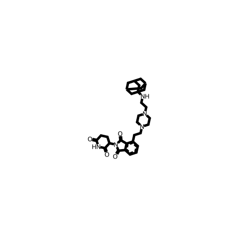 O=C1CCC(N2C(=O)c3cccc(CCN4CCN(CCNC56CC7CC(CC(C7)C5)C6)CC4)c3C2=O)C(=O)N1